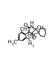 Cc1cc(C)c(C2C(=O)NC(C)(C3(C)CCCCC3)C2=O)c(C)c1